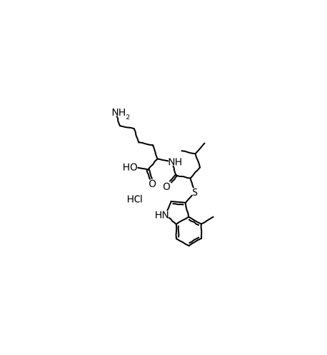 Cc1cccc2[nH]cc(SC(CC(C)C)C(=O)NC(CCCCN)C(=O)O)c12.Cl